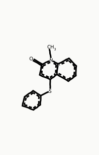 Cn1c(=O)cc(Sc2ccccc2)c2ccccc21